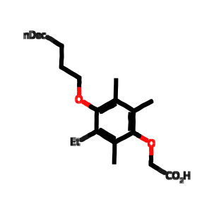 CCCCCCCCCCCCCOc1c(C)c(C)c(OCC(=O)O)c(C)c1CC